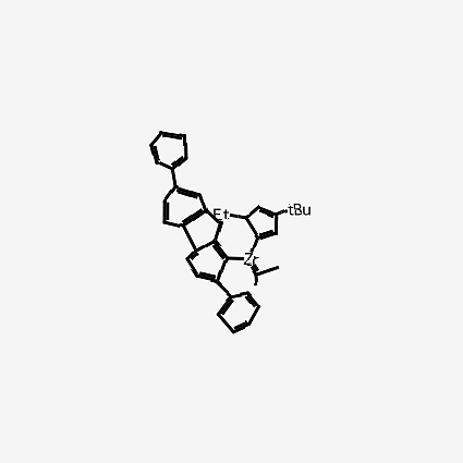 CCC1C=C(C(C)(C)C)C=[C]1[Zr](=[C](C)C)[c]1c(-c2ccccc2)ccc2c1Cc1cc(-c3ccccc3)ccc1-2